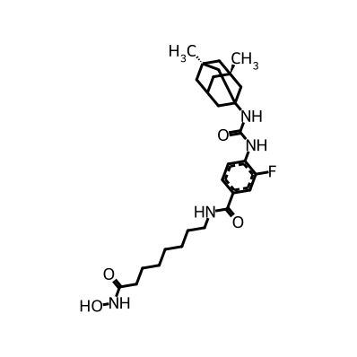 C[C@]12CC3CC(NC(=O)Nc4ccc(C(=O)NCCCCCCCC(=O)NO)cc4F)(C1)C[C@@](C)(C3)C2